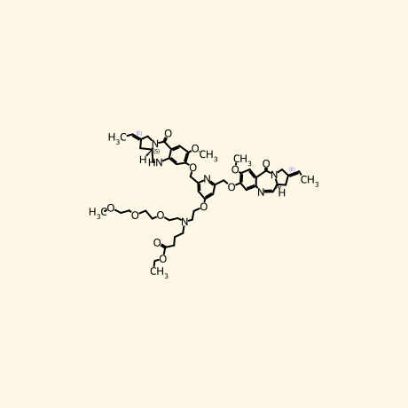 C/C=C1\C[C@H]2CNc3cc(OCc4cc(OCCN(CCCC(=O)OCC)CCOCCOCCOC)cc(COc5cc6c(cc5OC)C(=O)N5C/C(=C/C)C[C@H]5C=N6)n4)c(OC)cc3C(=O)N2C1